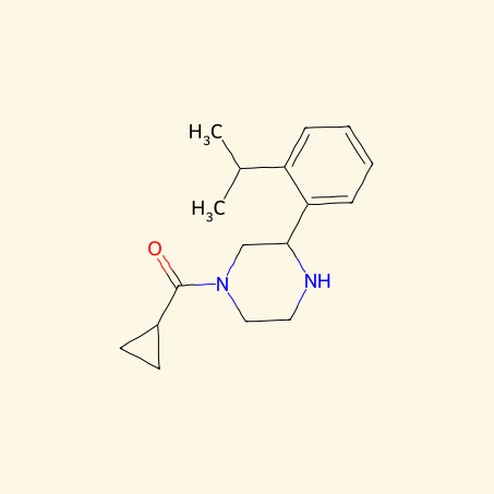 CC(C)c1ccccc1C1CN(C(=O)C2CC2)CCN1